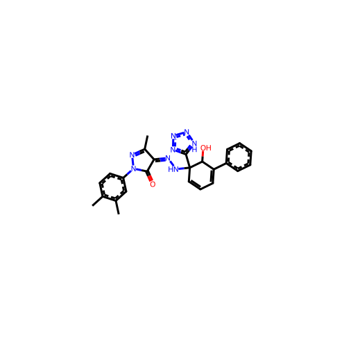 CC1=NN(c2ccc(C)c(C)c2)C(=O)C1=NNC1(c2nnn[nH]2)C=CC=C(c2ccccc2)C1O